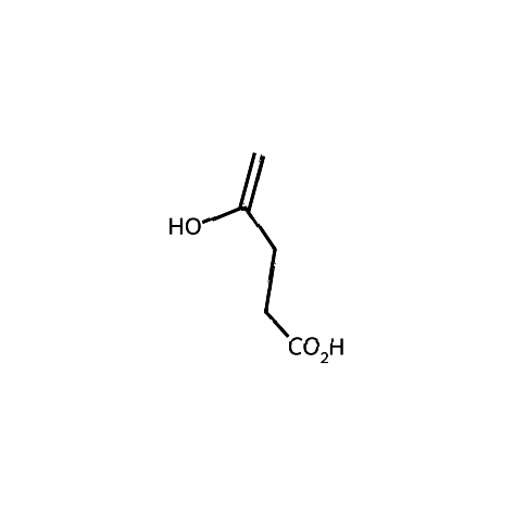 C=C(O)CCC(=O)O